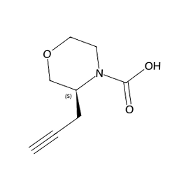 C#CC[C@H]1COCCN1C(=O)O